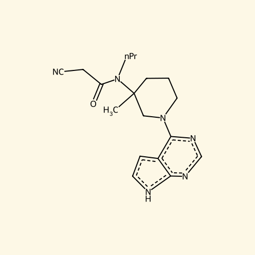 CCCN(C(=O)CC#N)C1(C)CCCN(c2ncnc3[nH]ccc23)C1